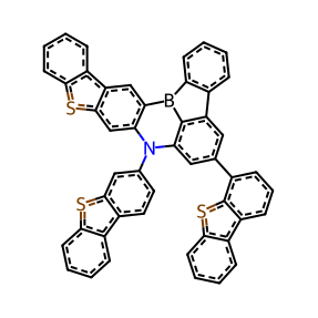 c1ccc2c(c1)B1c3cc4c(cc3N(c3ccc5c(c3)sc3ccccc35)c3cc(-c5cccc6c5sc5ccccc56)cc-2c31)sc1ccccc14